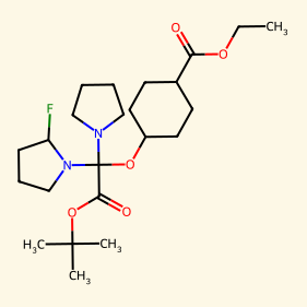 CCOC(=O)C1CCC(OC(C(=O)OC(C)(C)C)(N2CCCC2)N2CCCC2F)CC1